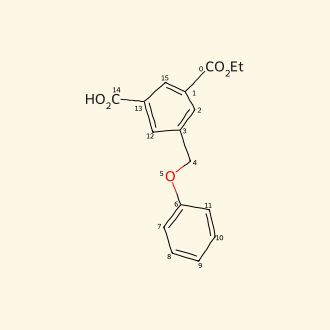 CCOC(=O)c1cc(COc2ccccc2)cc(C(=O)O)c1